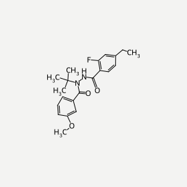 CCc1ccc(C(=O)NN(C(=O)c2cccc(OC)c2)C(C)(C)C)c(F)c1